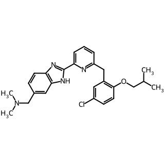 CC(C)COc1ccc(Cl)cc1Cc1cccc(-c2nc3ccc(CN(C)C)cc3[nH]2)n1